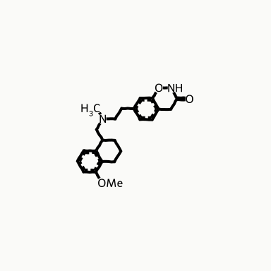 COc1cccc2c1CCCC2CN(C)CCc1ccc2c(c1)ONC(=O)C2